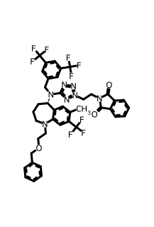 Cc1cc2c(cc1C(F)(F)F)N(CCOCc1ccccc1)CCC[C@@H]2N(Cc1cc(C(F)(F)F)cc(C(F)(F)F)c1)c1nnn(CCN2C(=O)c3ccccc3C2=O)n1